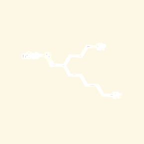 CCCCCCCCN=CC(CCCCCC(C)C)CCCC(C)C